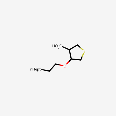 CCCCCCCCCOC1CSCC1C(=O)O